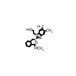 COC(=O)c1ccccc1CSc1nc2cc(C)c(C)cc2n1CCO